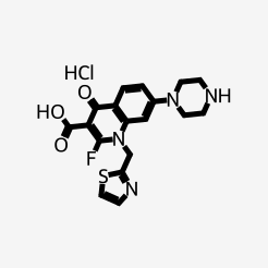 Cl.O=C(O)c1c(F)n(Cc2nccs2)c2cc(N3CCNCC3)ccc2c1=O